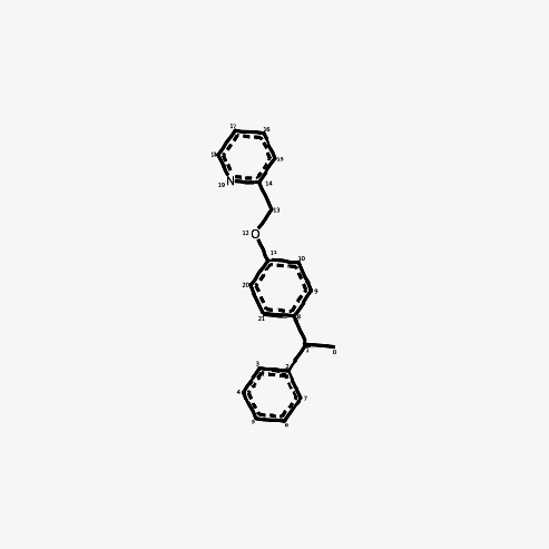 CC(c1ccccc1)c1ccc(OCc2ccccn2)cc1